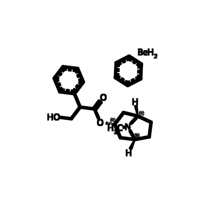 CN1[C@@H]2CC[C@H]1C[C@@H](OC(=O)C(CO)c1ccccc1)C2.[BeH2].c1ccccc1